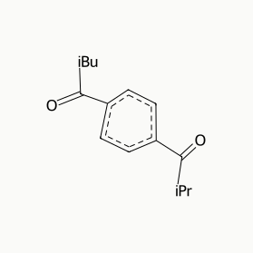 CCC(C)C(=O)c1ccc(C(=O)C(C)C)cc1